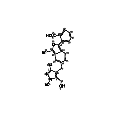 CCc1nn(CC)c(CO)c1Cc1ccc2c(-c3ccccc3C(=O)O)oc(Br)c2c1